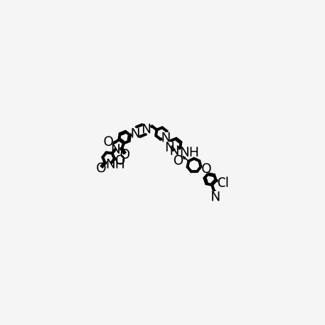 N#Cc1ccc(O[C@@H]2CCC[C@@H](C(=O)Nc3ccc(N4CCC(CN5CCN(c6ccc7c(c6)C(=O)N(C6CCC(=O)NC6=O)C7=O)CC5)CC4)nn3)CC2)cc1Cl